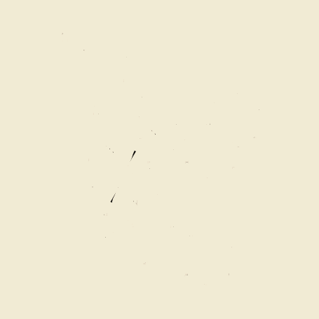 O=C(N[C@@H](Cc1ccc(O)cc1)C(=O)N1CC[C@@H]2[C@H]1C(=O)CN2C(=O)c1ccc2ccccc2c1)c1cccc2ccccc12